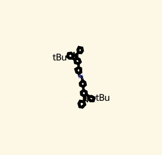 CC(C)(C)c1ccc2c(c1)c1cc(-c3ccc(/C=C/c4ccc(-c5ccc6c(c5)c5cc(C(C)(C)C)ccc5n6-c5ccccc5)cc4)cc3)ccc1n2-c1ccccc1